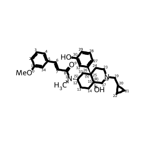 COc1cccc(C=CC(=O)N(C)[C@H]2CC[C@]3(O)CN(CC4CC4)CC[C@@]3(c3cccc(O)c3)C2)c1